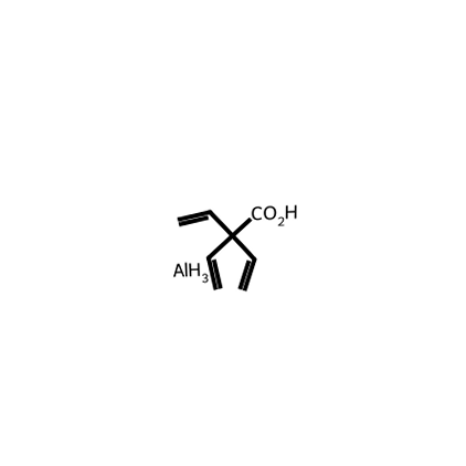 C=CC(C=C)(C=C)C(=O)O.[AlH3]